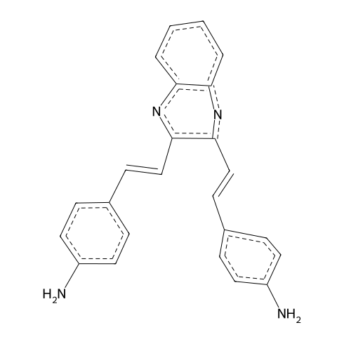 Nc1ccc(/C=C/c2nc3ccccc3nc2/C=C/c2ccc(N)cc2)cc1